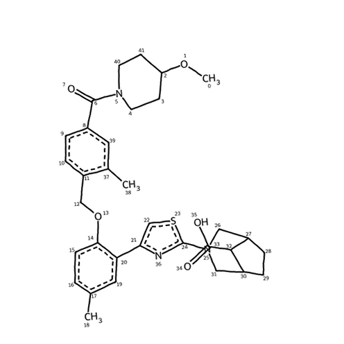 COC1CCN(C(=O)c2ccc(COc3ccc(C)cc3-c3csc(N4CC5CCC(C4)C5C(=O)O)n3)c(C)c2)CC1